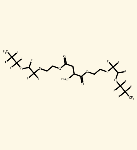 O=C(CC(C(=O)OCCSC(F)(F)C(F)OC(F)(F)C(F)(F)C(F)(F)F)S(=O)(=O)O)OCCSC(F)(F)C(F)OC(F)(F)C(F)(F)C(F)(F)F